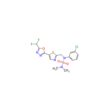 CN(C)S(=O)(=O)N(Cc1ncc(-c2nnc(C(F)F)o2)s1)c1cccc(Cl)c1